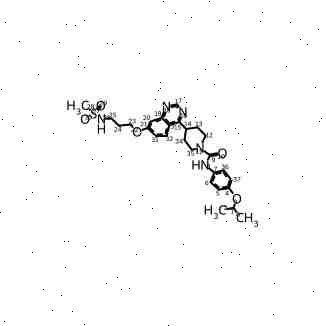 CC(C)Oc1ccc(NC(=O)N2CCC(c3ncnc4cc(OCCCNS(C)(=O)=O)ccc34)CC2)cc1